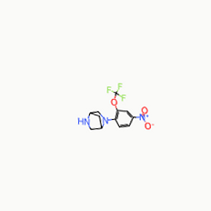 O=[N+]([O-])c1ccc(N2CC3CC2CN3)c(OC(F)(F)F)c1